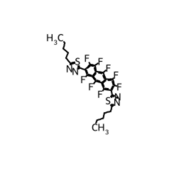 CCCCCc1nnc(-c2c(F)c(F)c3c(F)c4c(F)c(F)c(-c5nnc(CCCCC)s5)c(F)c4c(F)c3c2F)s1